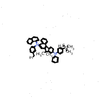 CC(C)Cc1cccc(N(c2cccc3ccccc23)c2cc3c(c4ccccc24)-c2ccc(N(c4ccccc4)c4ccc([Si](C)(C)C)cc4)cc2C3(C)C)c1